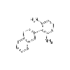 Nc1cccc(N)c1-c1ccc2ccccc2c1